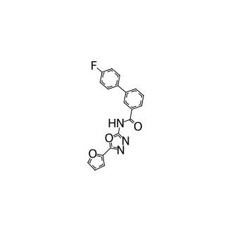 O=C(Nc1nnc(-c2ccco2)o1)c1cccc(-c2ccc(F)cc2)c1